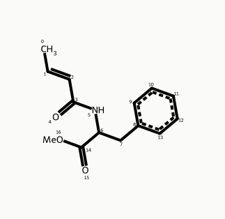 CC=CC(=O)NC(Cc1ccccc1)C(=O)OC